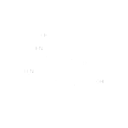 CNc1ccc(C2(C(=O)O)CC2)cc1N